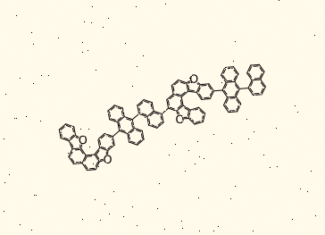 c1ccc2c(-c3c4ccccc4c(-c4ccc5c(c4)oc4ccc6cc(-c7cccc8c(-c9c%10ccccc%10c(-c%10ccc%11c(c%10)oc%10ccc%12ccc%13c%14ccccc%14oc%13c%12c%10%11)c%10ccccc9%10)cccc78)c7oc8ccccc8c7c6c45)c4ccccc34)cccc2c1